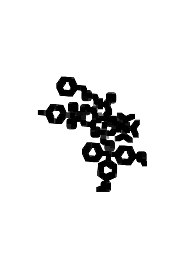 COc1ccc(C(OC[C@@](CO)(CO[Si](C(C)C)(C(C)C)C(C)C)OC(COS(=O)(=O)c2ccc(C)cc2)n2ccc(=O)n(COCc3ccccc3)c2=O)(c2ccccc2)c2ccc(OC)cc2)cc1